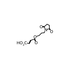 O=C(O)C=CC(=O)OCCCN1C(=O)CCC1=O